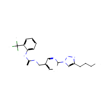 C=C(NCC(/C=N\C(C)N1C=C(CCCC)NN1)=C/C)Nc1ccccc1C(F)(F)F